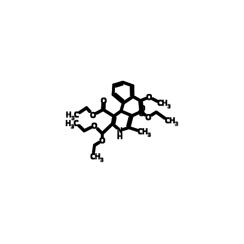 CCOC(=O)C1=C(C)NC(C(OCC)OCC)=C(C(=O)OCC)C1c1ccccc1C(=O)OC